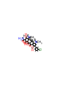 CN(C)c1cc(-c2cccc(Cl)c2)c(O)c2c1C[C@@H]1C[C@@H]3[C@@H](N(C)C)C(O)=C(C(N)=O)C(=O)[C@@]3(O)C(O)=C1C2=O